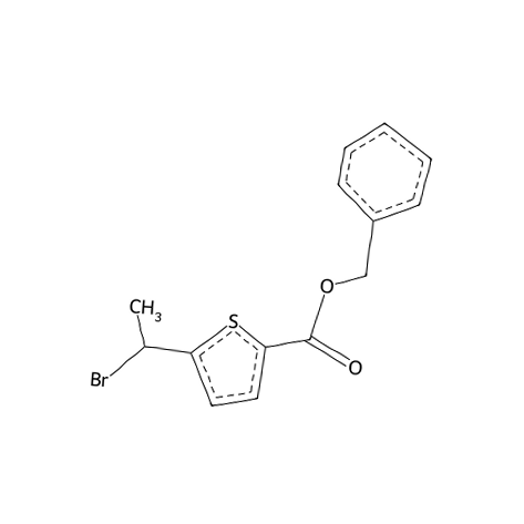 CC(Br)c1ccc(C(=O)OCc2ccccc2)s1